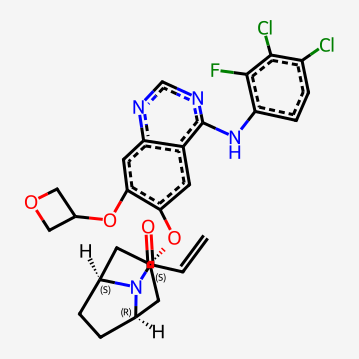 C=CC(=O)N1[C@@H]2CC[C@H]1C[C@H](Oc1cc3c(Nc4ccc(Cl)c(Cl)c4F)ncnc3cc1OC1COC1)C2